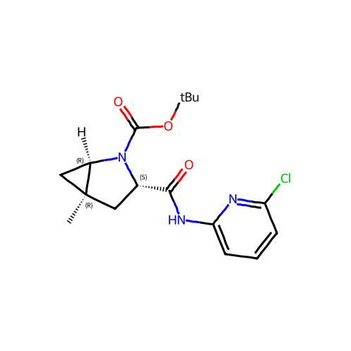 CC(C)(C)OC(=O)N1[C@H](C(=O)Nc2cccc(Cl)n2)C[C@@]2(C)C[C@@H]12